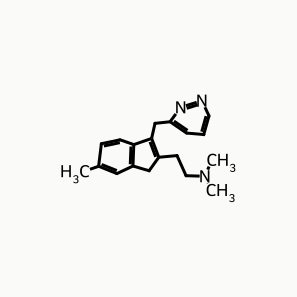 Cc1ccc2c(c1)CC(CCN(C)C)=C2Cc1cccnn1